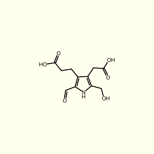 O=Cc1[nH]c(CO)c(CC(=O)O)c1CCC(=O)O